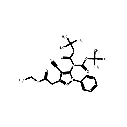 CCOC(=O)Cc1nn(-c2ccccc2)c(N(C(=O)OC(C)(C)C)C(=O)OC(C)(C)C)c1C#N